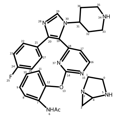 C1CN2CC2N1.CC(=O)Nc1ccccc1Oc1nccc(-c2c(-c3ccc(F)cc3)ncn2C2CCNCC2)n1